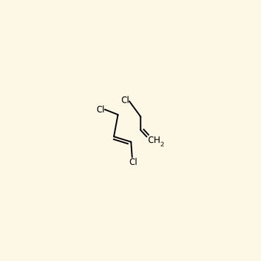 C=CCCl.ClC=CCCl